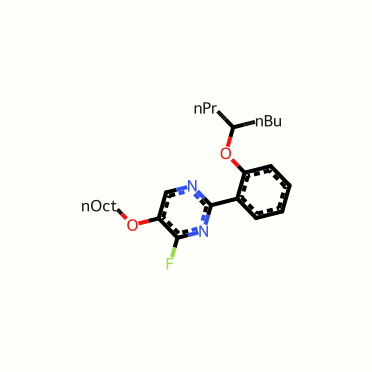 CCCCCCCCOc1cnc(-c2ccccc2OC(CCC)CCCC)nc1F